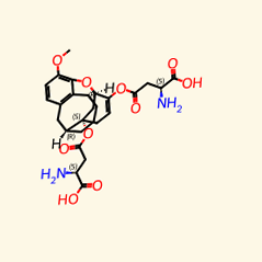 COc1ccc2c3c1O[C@@H]1C[C@@](OC(=O)C[C@H](N)C(=O)O)(CC=C1OC(=O)C[C@H](N)C(=O)O)[C@H](CCCC3)C2